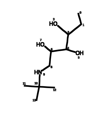 CCC(O)C(O)C(O)CNC(C)(C)C